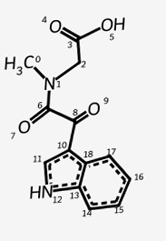 CN(CC(=O)O)C(=O)C(=O)c1c[nH]c2ccccc12